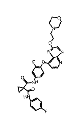 O=C(Nc1ccc(F)cc1)C1(C(=O)Nc2ccc(Oc3ccnc4ncc(OCCN5CCOCC5)nc34)c(F)c2)CC1